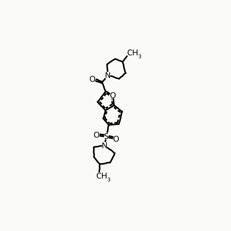 CC1CCN(C(=O)c2cc3cc(S(=O)(=O)N4CCC(C)CC4)ccc3o2)CC1